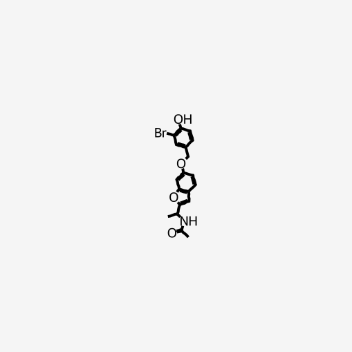 CC(=O)NC(C)c1cc2ccc(OCc3ccc(O)c(Br)c3)cc2o1